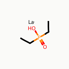 CCP(=O)(O)CC.[La]